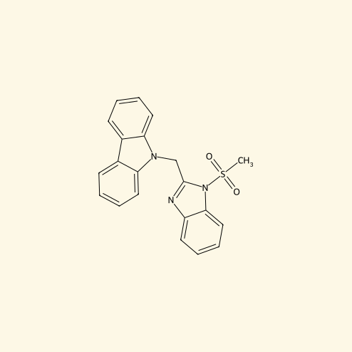 CS(=O)(=O)n1c(Cn2c3ccccc3c3ccccc32)nc2ccccc21